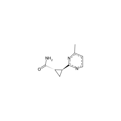 Cc1ccnc([C@H]2C[C@@H]2C(N)=O)n1